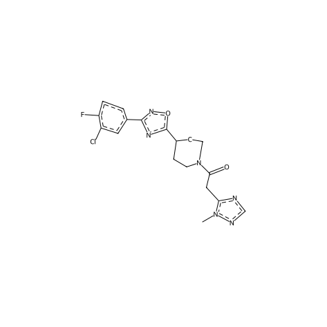 Cn1ncnc1CC(=O)N1CCC(c2nc(-c3ccc(F)c(Cl)c3)no2)CC1